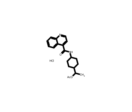 CC(=O)OC(C)C1CCC(NC(=O)c2ccnc3ccccc23)CC1.Cl